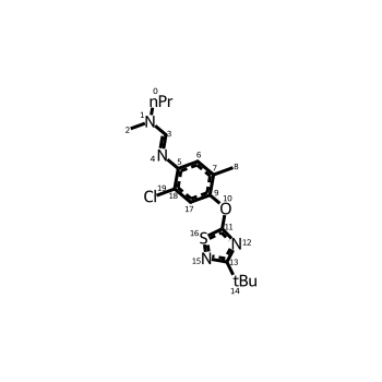 CCCN(C)C=Nc1cc(C)c(Oc2nc(C(C)(C)C)ns2)cc1Cl